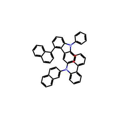 c1ccc(-c2ccccc2N(c2ccc3ccccc3c2)c2ccc3c(c2)c2c(-c4cccc5ccccc45)cccc2n3-c2ccccc2)cc1